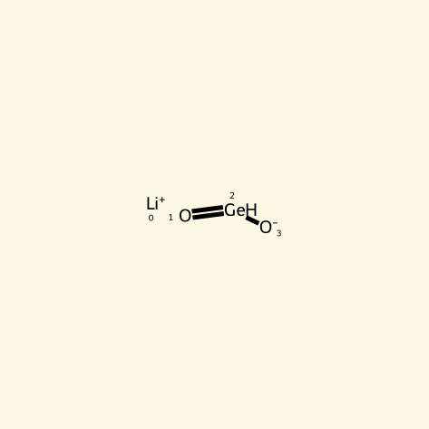 [Li+].[O]=[GeH][O-]